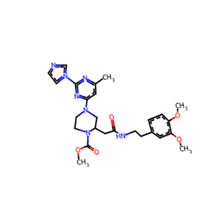 COC(=O)N1CCN(c2cc(C)nc(-n3ccnc3)n2)CC1CC(=O)NCCc1ccc(OC)c(OC)c1